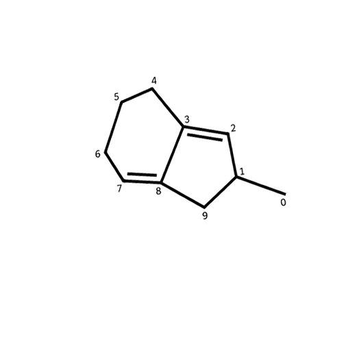 CC1C=C2CCCC=C2C1